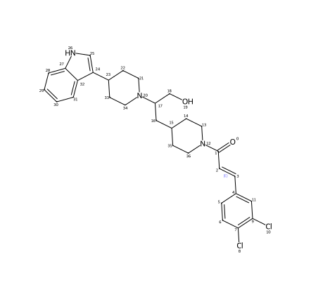 O=C(/C=C/c1ccc(Cl)c(Cl)c1)N1CCC(CC(CO)N2CCC(c3c[nH]c4ccccc34)CC2)CC1